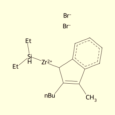 CCCCC1=C(C)c2ccccc2[CH]1[Zr+2][SiH](CC)CC.[Br-].[Br-]